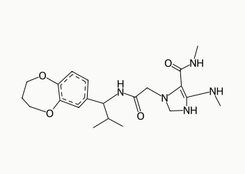 CNC(=O)C1=C(NC)NCN1CC(=O)NC(c1ccc2c(c1)OCCCO2)C(C)C